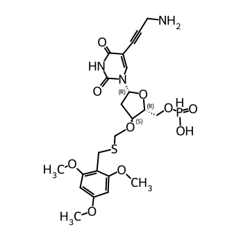 COc1cc(OC)c(CSCO[C@H]2C[C@H](n3cc(C#CCN)c(=O)[nH]c3=O)O[C@@H]2CO[PH](=O)O)c(OC)c1